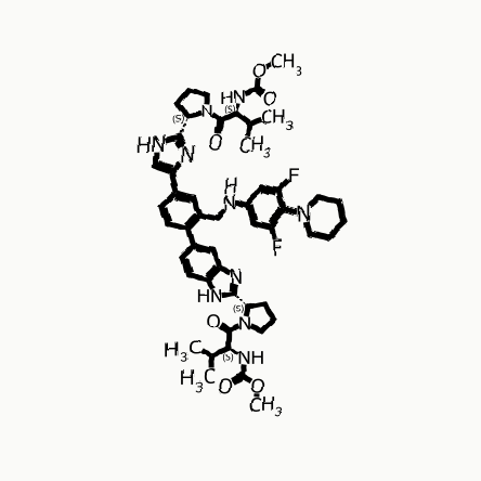 COC(=O)N[C@H](C(=O)N1CCC[C@H]1c1nc(-c2ccc(-c3ccc4[nH]c([C@@H]5CCCN5C(=O)[C@@H](NC(=O)OC)C(C)C)nc4c3)c(CNc3cc(F)c(N4CCCCC4)c(F)c3)c2)c[nH]1)C(C)C